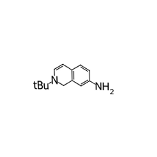 CC(C)(C)N1C=Cc2ccc(N)cc2C1